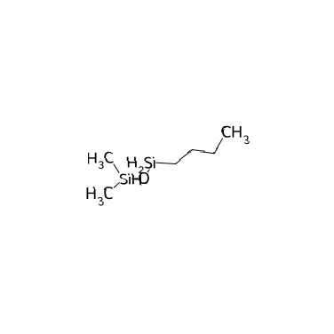 CCCC[SiH2]O[SiH](C)C